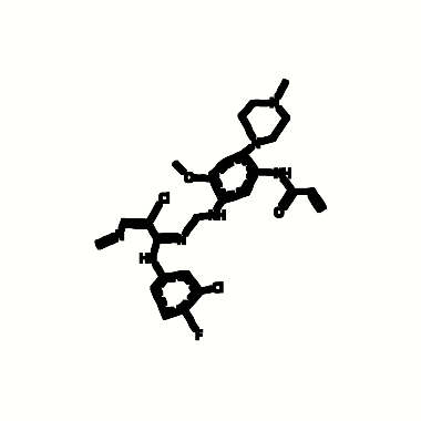 C=CC(=O)Nc1cc(NC/N=C(Nc2ccc(F)c(Cl)c2)\C(Cl)=C/N=C)c(OC)cc1N1CCN(C)CC1